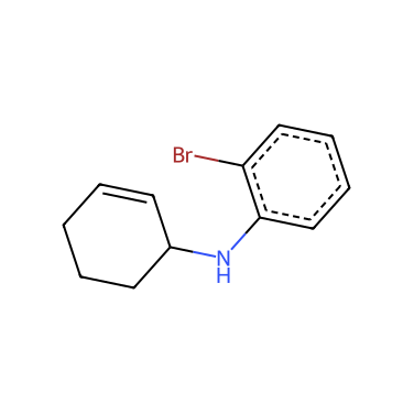 Brc1ccccc1NC1C=CCCC1